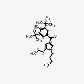 CCCCn1cc(C(=O)c2cc(C(C)(C)C)c(O)c(C(C)(C)C)c2)cc1SCC